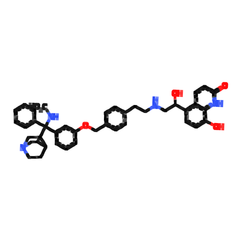 O=C(O)NC(c1ccccc1)(c1cccc(OCc2ccc(CCNCC(O)c3ccc(O)c4[nH]c(=O)ccc34)cc2)c1)C1CN2CCC1CC2